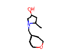 CC1C[C@H](O)CN1CC1CCOCC1